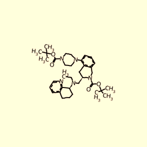 CCN(C[C@H]1Cc2c(cccc2N2CCN(C(=O)OC(C)(C)C)CC2)CN1C(=O)OC(C)(C)C)[C@H]1CCCc2cccnc21